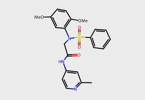 COc1ccc(OC)c(N(CC(=O)Nc2ccnc(C)c2)S(=O)(=O)c2ccccc2)c1